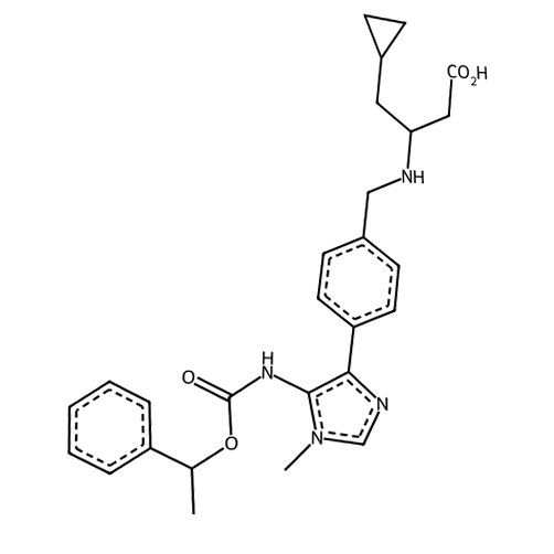 CC(OC(=O)Nc1c(-c2ccc(CNC(CC(=O)O)CC3CC3)cc2)ncn1C)c1ccccc1